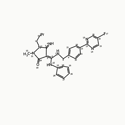 CC(C)CN1C(=N)/C(=C(\NCc2ccc(-c3ncc(F)cn3)cc2)Nc2ccccc2)C(=O)N1C